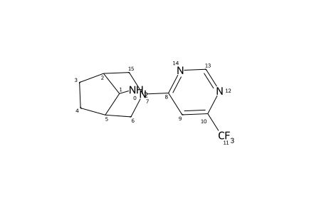 NC1C2CCC1CN(c1cc(C(F)(F)F)ncn1)C2